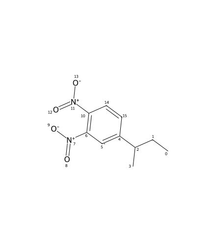 CCC(C)c1[c]c([N+](=O)[O-])c([N+](=O)[O-])cc1